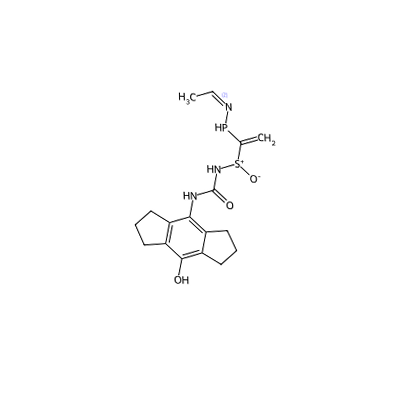 C=C(P/N=C\C)[S+]([O-])NC(=O)Nc1c2c(c(O)c3c1CCC3)CCC2